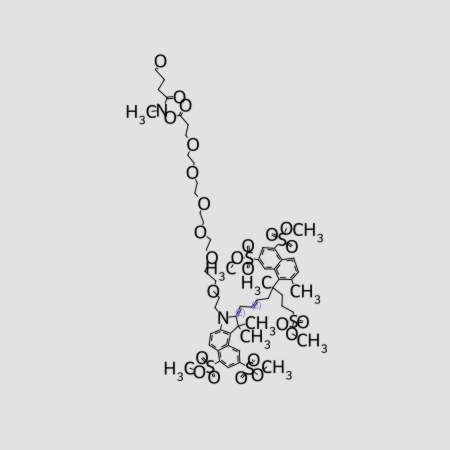 COS(=O)(=O)CCCC(C)(C/C=C/C=C1/N(CCOCCOCCOCCOCCOCCOCCC(=O)ON(C)C(=O)CCC=O)c2ccc3c(S(=O)(=O)OC)cc(S(=O)(=O)OC)cc3c2C1(C)C)c1c(C)ccc2c(S(=O)(=O)OC)cc(S(=O)(=O)OC)cc12